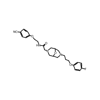 N#Cc1ccc(OCCNC(=O)CN2CC3CN(CCCOc4ccc(F)cc4)CC(C2)O3)cc1